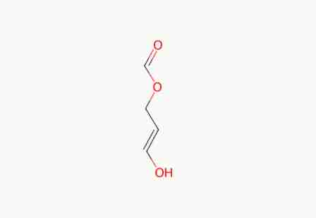 O=COCC=CO